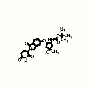 CC1(C)C[C@H](NC(=O)OC(C)(C)C)[C@@H](Oc2ccc3c(c2)CN(C2CCC(=O)NC2=O)C3=O)C1